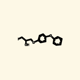 OC(CI)COc1ccc(Oc2ccccc2)cc1